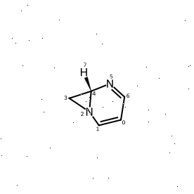 C1=CN2C[C@@H]2N=C1